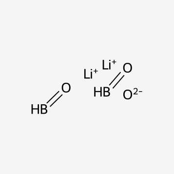 B=O.B=O.[Li+].[Li+].[O-2]